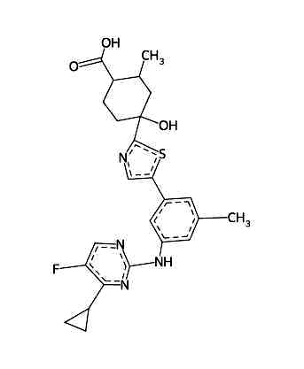 Cc1cc(Nc2ncc(F)c(C3CC3)n2)cc(-c2cnc(C3(O)CCC(C(=O)O)C(C)C3)s2)c1